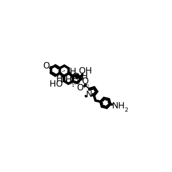 Cn1c(Cc2ccc(N)cc2)ccc1[C@@H]1O[C@@H]2C[C@H]3[C@@H]4CCC5=CC(=O)C=C[C@]5(C)[C@H]4[C@@H](O)C[C@]3(C)[C@]2(C(=O)CO)O1